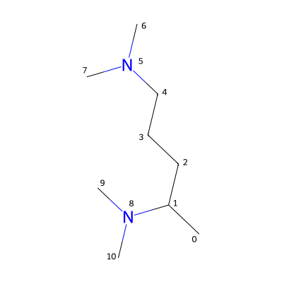 CC(CCCN(C)C)N(C)C